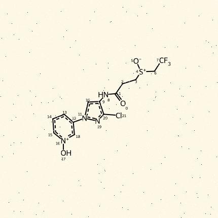 O=C(CC[S+]([O-])CC(F)(F)F)Nc1cn(-c2ccc[n+](O)c2)nc1Cl